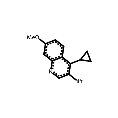 COc1ccc2c(C3CC3)c(C(C)C)cnc2c1